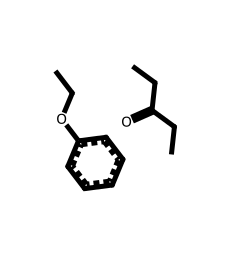 CCC(=O)CC.CCOc1ccccc1